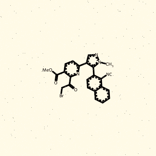 [C-]#[N+]c1c(-c2c(-c3ccc(C(=O)OC)c(C(=O)CBr)n3)cnn2C)ccc2ccccc12